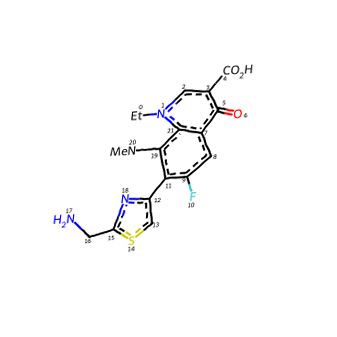 CCn1cc(C(=O)O)c(=O)c2cc(F)c(-c3csc(CN)n3)c(NC)c21